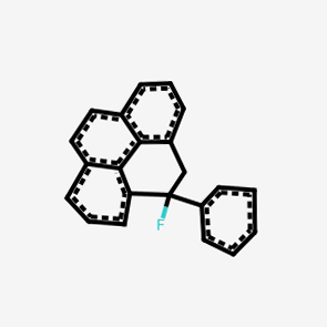 FC1(c2ccccc2)Cc2cccc3ccc4cccc1c4c23